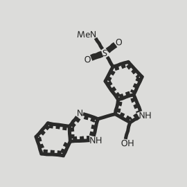 CNS(=O)(=O)c1ccc2[nH]c(O)c(-c3nc4ccccc4[nH]3)c2c1